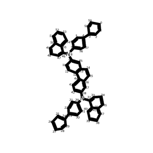 c1ccc(-c2ccc(N(c3ccc4c(ccc5cc(N(c6ccc(-c7ccccc7)cc6)c6cccc7ccccc67)ccc54)c3)c3cccc4ccccc34)cc2)cc1